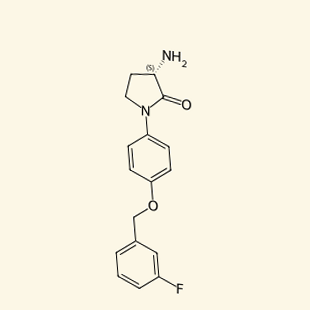 N[C@H]1CCN(c2ccc(OCc3cccc(F)c3)cc2)C1=O